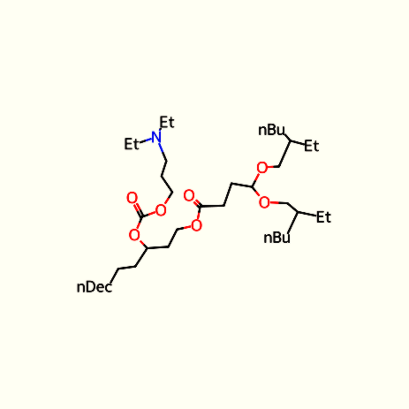 CCCCCCCCCCCCC(CCOC(=O)CCC(OCC(CC)CCCC)OCC(CC)CCCC)OC(=O)OCCCN(CC)CC